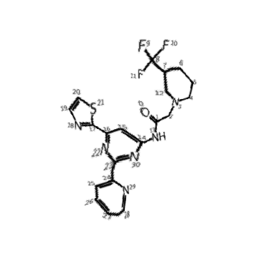 O=C(CN1CCCC(C(F)(F)F)C1)Nc1cc(-c2nccs2)nc(-c2ccccn2)n1